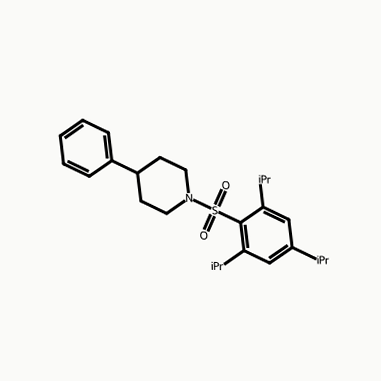 CC(C)c1cc(C(C)C)c(S(=O)(=O)N2CCC(c3ccccc3)CC2)c(C(C)C)c1